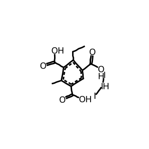 CCc1c(C(=O)O)cc(C(=O)O)c(C)c1C(=O)O.I[IH]I